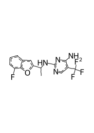 CC(Nc1ncc(C(F)(F)F)c(N)n1)c1cc2cccc(F)c2o1